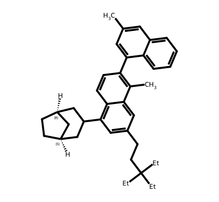 CCC(CC)(CC)CCc1cc(C2C[C@H]3CC[C@@H](C2)C3)c2ccc(-c3cc(C)cc4ccccc34)c(C)c2c1